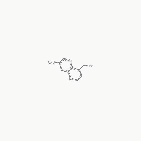 COc1cnc2c(CBr)ccnc2c1